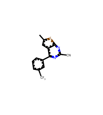 Cc1cc2c(-c3cccc(C(F)(F)F)c3)nc(C#N)nc2s1